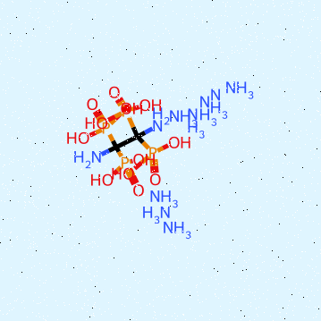 N.N.N.N.N.N.N.N.NC(C(N)(P(=O)(O)O)P(=O)(O)O)(P(=O)(O)O)P(=O)(O)O